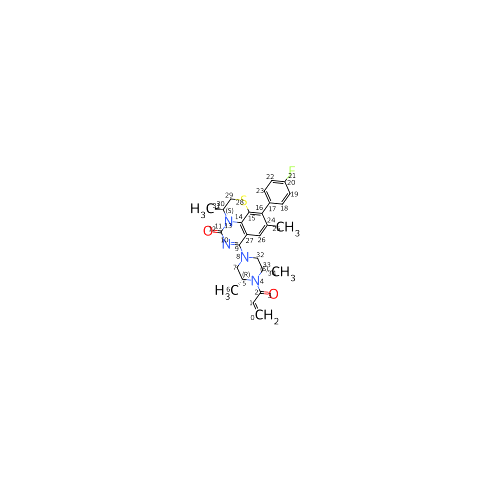 C=CC(=O)N1[C@H](C)CN(c2nc(=O)n3c4c(c(-c5ccc(F)cc5)c(C)cc24)SC[C@@H]3C)C[C@@H]1C